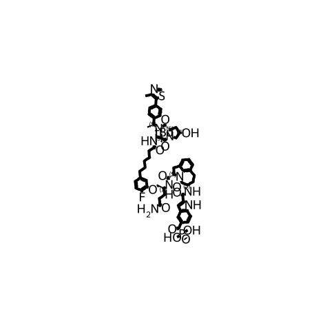 Cc1ncsc1-c1ccc([C@H](C)NC(=O)[C@@H]2C[C@@H](O)CN2C(=O)[C@@H](NC(=O)CCCCCc2ccc(F)c(OC[C@H](CCC(N)=O)NC(=O)[C@@H]3Cc4cccc5c4N3C(=O)[C@@H](NC(=O)c3cc4cc(C(=O)P(=O)(O)O)ccc4[nH]3)CC5)c2)C(C)(C)C)cc1